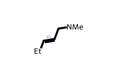 CC/C=C/CNC